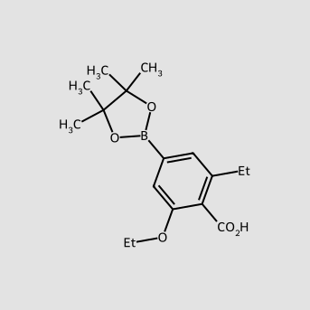 CCOc1cc(B2OC(C)(C)C(C)(C)O2)cc(CC)c1C(=O)O